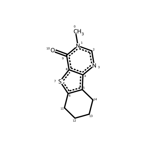 Cn1cnc2c3c(sc2c1=O)CCCC3